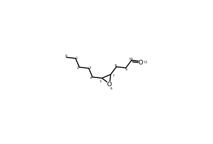 CCCCCC1OC1CCC=O